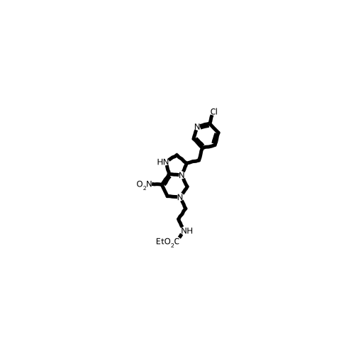 CCOC(=O)NCCN1CC([N+](=O)[O-])=C2NCC(Cc3ccc(Cl)nc3)N2C1